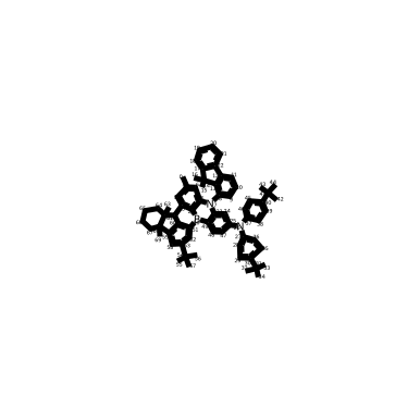 Cc1cc2c3c(c1)N(c1cccc4c1C(C)(C)c1ccccc1-4)c1cc(N(c4ccc(C(C)(C)C)cc4)c4ccc(C(C)(C)C)cc4)ccc1B3c1cc(C(C)(C)C)cc3c1C2C1(C)CCCCC31C